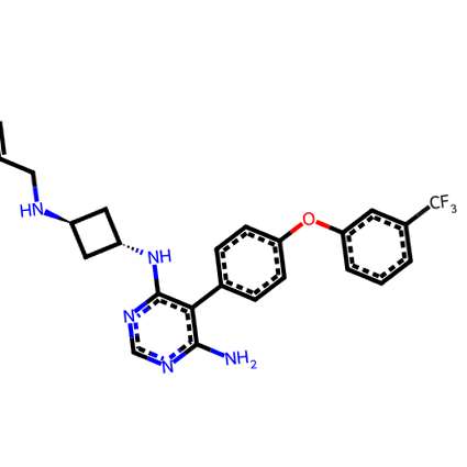 C=CCN[C@H]1C[C@H](Nc2ncnc(N)c2-c2ccc(Oc3cccc(C(F)(F)F)c3)cc2)C1